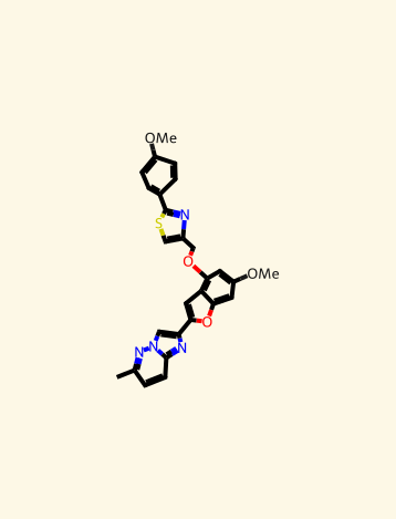 COc1ccc(-c2nc(COc3cc(OC)cc4oc(-c5cn6nc(C)ccc6n5)cc34)cs2)cc1